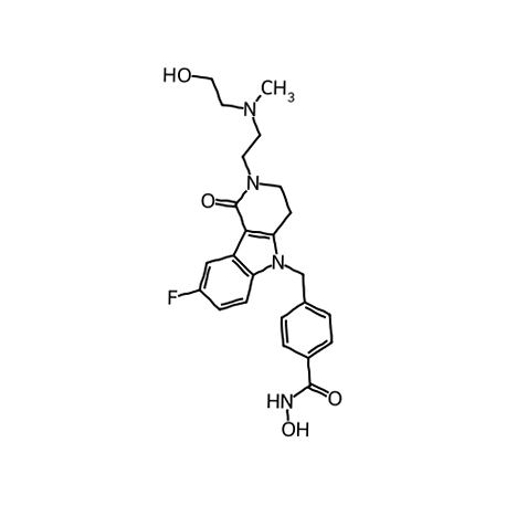 CN(CCO)CCN1CCc2c(c3cc(F)ccc3n2Cc2ccc(C(=O)NO)cc2)C1=O